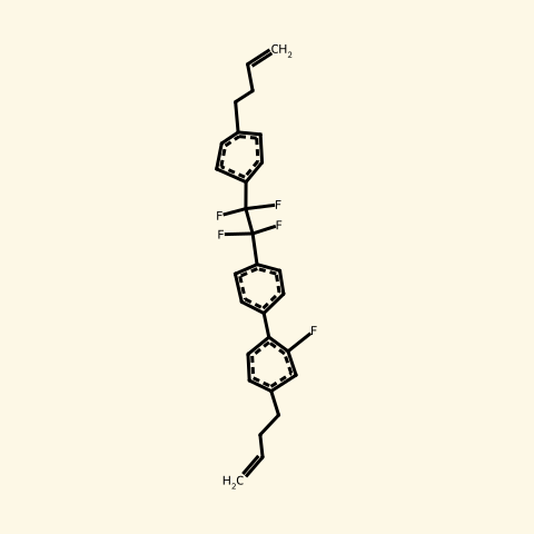 C=CCCc1ccc(C(F)(F)C(F)(F)c2ccc(-c3ccc(CCC=C)cc3F)cc2)cc1